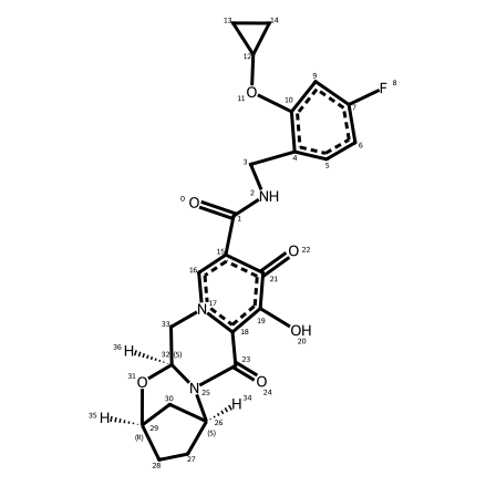 O=C(NCc1ccc(F)cc1OC1CC1)c1cn2c(c(O)c1=O)C(=O)N1[C@H]3CC[C@H](C3)O[C@H]1C2